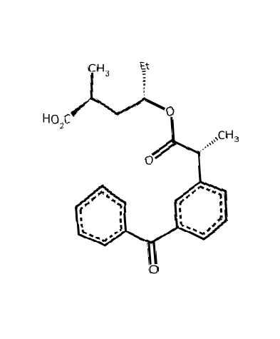 CC[C@@H](C[C@H](C)C(=O)O)OC(=O)[C@H](C)c1cccc(C(=O)c2ccccc2)c1